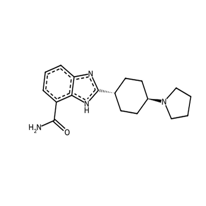 NC(=O)c1cccc2nc([C@H]3CC[C@H](N4CCCC4)CC3)[nH]c12